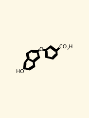 O=C(O)c1cccc(Oc2ccc3cc(O)ccc3c2)c1